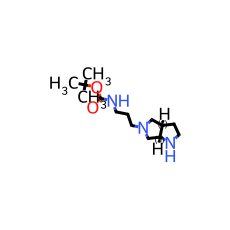 CC(C)(C)OC(=O)NCCCN1C[C@@H]2CCN[C@@H]2C1